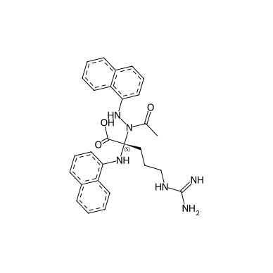 CC(=O)N(Nc1cccc2ccccc12)[C@](CCCNC(=N)N)(Nc1cccc2ccccc12)C(=O)O